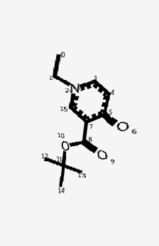 CCn1ccc(=O)c(C(=O)OC(C)(C)C)c1